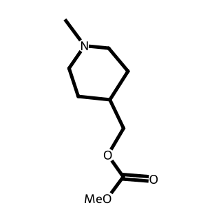 COC(=O)OCC1CCN(C)CC1